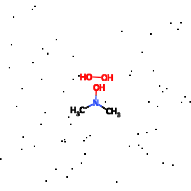 CN(C)O.OO